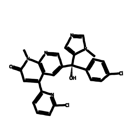 Cn1cncc1[C@@](O)(c1ccc(Cl)cc1)c1cnc2c(c1)c(-c1cccc(Cl)n1)cc(=O)n2C